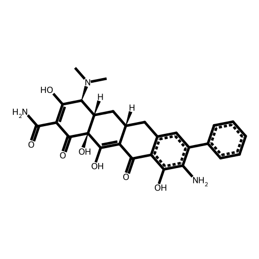 CN(C)[C@@H]1C(O)=C(C(N)=O)C(=O)[C@@]2(O)C(O)=C3C(=O)c4c(cc(-c5ccccc5)c(N)c4O)C[C@H]3C[C@@H]12